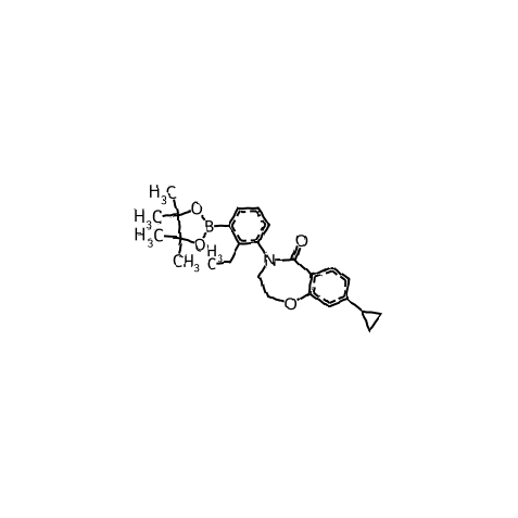 CCc1c(B2OC(C)(C)C(C)(C)O2)cccc1N1CCOc2cc(C3CC3)ccc2C1=O